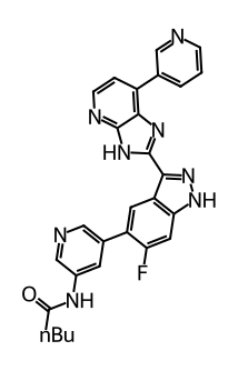 CCCCC(=O)Nc1cncc(-c2cc3c(-c4nc5c(-c6cccnc6)ccnc5[nH]4)n[nH]c3cc2F)c1